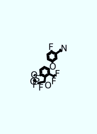 N#Cc1cc(Oc2ccc3c(c2C(F)F)C(=O)C(F)(F)S3(=O)=O)ccc1F